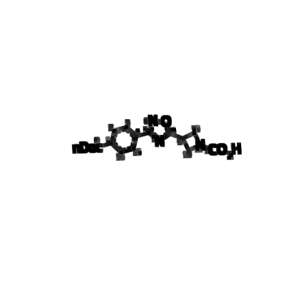 CCCCCCCCCCc1ccc(-c2noc(C3CN(C(=O)O)C3)n2)cc1